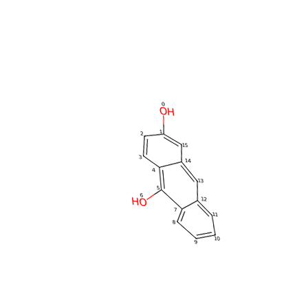 Oc1ccc2c(O)c3ccccc3cc2c1